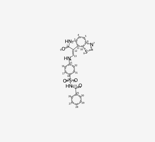 O=C1Nc2ccc3ncsc3c2C1=CNc1ccc(S(=O)(=O)NC(=O)c2ccccc2)cc1